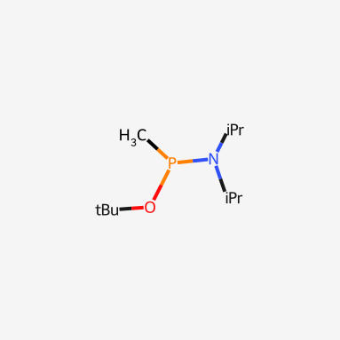 CC(C)N(C(C)C)P(C)OC(C)(C)C